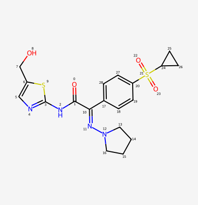 O=C(Nc1ncc(CO)s1)/C(=N/N1CCCC1)c1ccc(S(=O)(=O)C2CC2)cc1